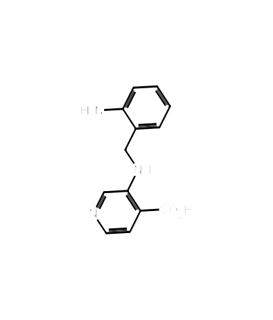 Nc1ccccc1CNc1cnccc1C(=O)O